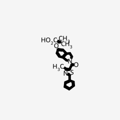 Cc1nc(-c2ccccc2)sc1C(=O)N1CCc2cc(OC(C)(C)C(=O)O)ccc2C1